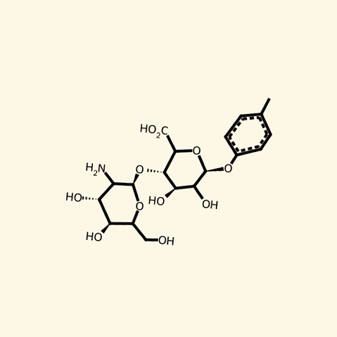 Cc1ccc(O[C@@H]2OC(C(=O)O)[C@@H](O[C@H]3OC(CO)[C@@H](O)[C@H](O)C3N)[C@H](O)C2O)cc1